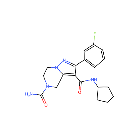 NC(=O)N1CCn2nc(-c3cccc(F)c3)c(C(=O)NC3CCCC3)c2C1